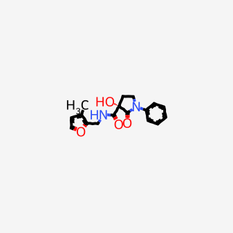 Cc1ccoc1CNC(=O)[C@@]1(O)CCN(c2ccccc2)C1=O